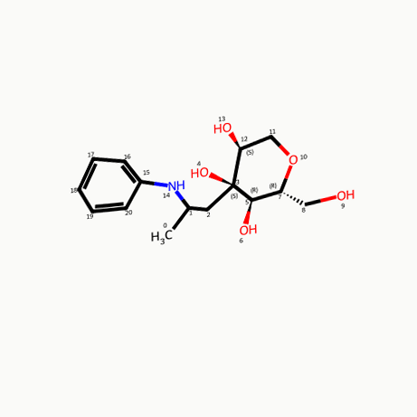 CC(C[C@@]1(O)[C@H](O)[C@@H](CO)OC[C@@H]1O)Nc1ccccc1